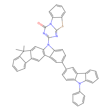 CC1(C)c2ccccc2-c2cc3c4cc(-c5ccc6c(c5)c5ccccc5n6-c5ccccc5)ccc4n(-c4nc(=O)n5c(n4)sc4ccccc45)c3cc21